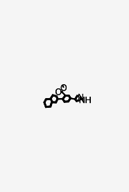 COC(=O)c1cc(-c2cn[nH]c2)ccc1-c1ccc2ccccc2c1